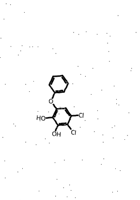 Oc1c(Oc2ccccc2)cc(Cl)c(Cl)c1O